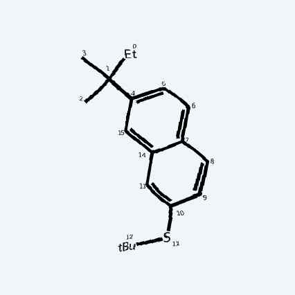 CCC(C)(C)c1ccc2ccc(SC(C)(C)C)cc2c1